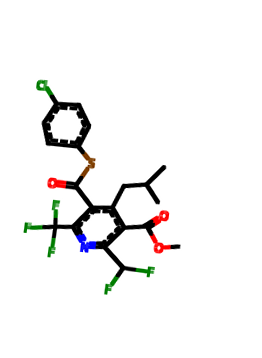 COC(=O)c1c(C(F)F)nc(C(F)(F)F)c(C(=O)Sc2ccc(Cl)cc2)c1CC(C)C